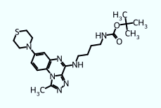 Cc1nnc2c(NCCCCNC(=O)OC(C)(C)C)nc3cc(N4CCSCC4)ccc3n12